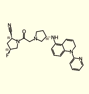 N#C[C@@H]1C[C@H](F)CN1C(=O)CN1CC[C@H](Nc2cccc3c2C=CCN3c2ccccn2)C1